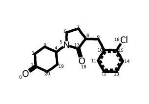 O=C1CCC(N2CCC(Cc3ccccc3Cl)C2=O)CC1